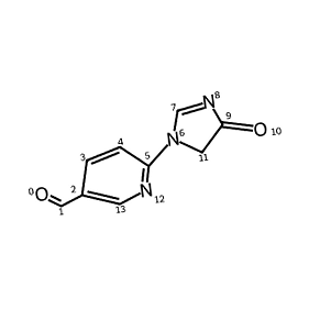 O=Cc1ccc(N2C=NC(=O)C2)nc1